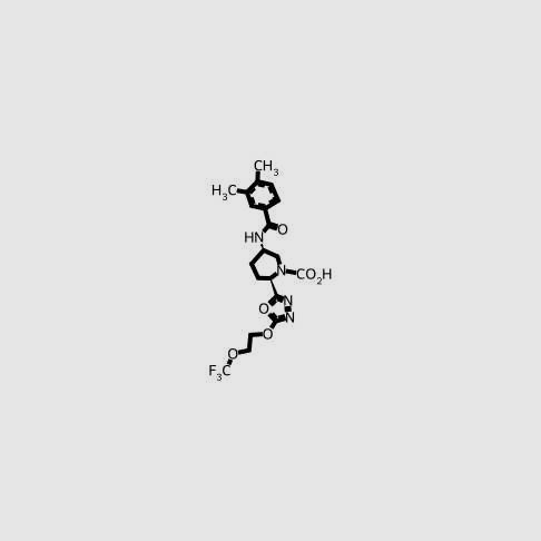 Cc1ccc(C(=O)N[C@H]2CC[C@H](c3nnc(OCCOC(F)(F)F)o3)N(C(=O)O)C2)cc1C